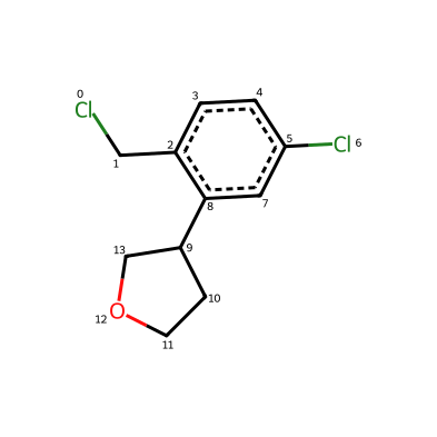 ClCc1ccc(Cl)cc1C1CCOC1